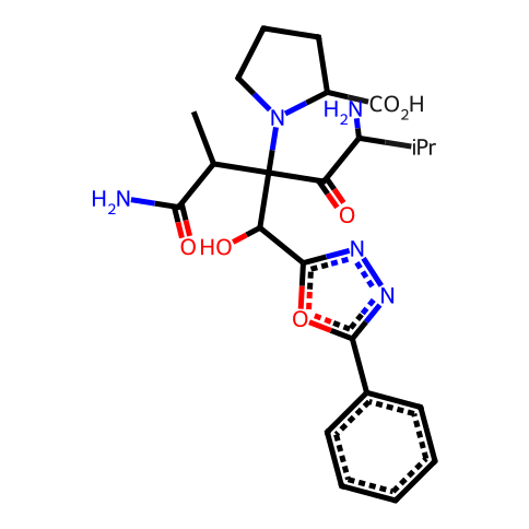 CC(C)C(N)C(=O)C(C(C)C(N)=O)(C(O)c1nnc(-c2ccccc2)o1)N1CCCC1C(=O)O